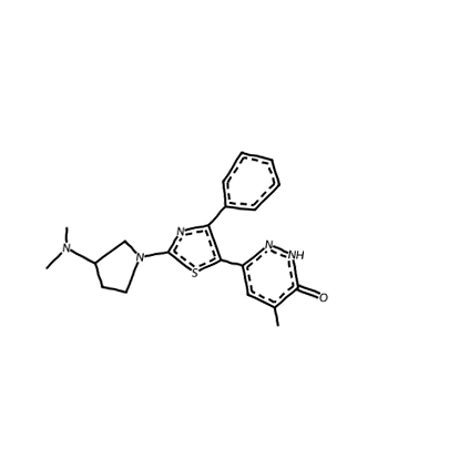 Cc1cc(-c2sc(N3CCC(N(C)C)C3)nc2-c2ccccc2)n[nH]c1=O